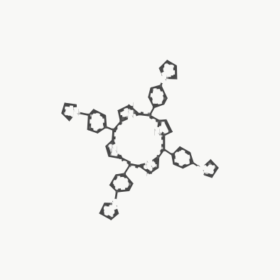 C1=Cc2nc1c(-c1ccc(-n3cccc3)cc1)c1ccc([nH]1)c(-c1ccc(-n3cccc3)cc1)c1nc(c(-c3ccc(-n4cccc4)cc3)c3ccc([nH]3)c2-c2ccc(-n3cccc3)cc2)C=C1